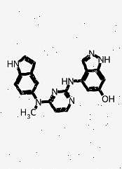 CN(c1ccc2[nH]ccc2c1)c1ccnc(Nc2cc(O)cc3[nH]ncc23)n1